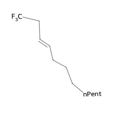 [CH2]CCCCCCCC=CCC(F)(F)F